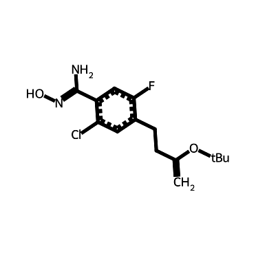 C=C(CCc1cc(Cl)c(/C(N)=N/O)cc1F)OC(C)(C)C